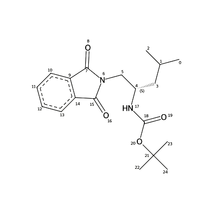 CC(C)C[C@@H](CN1C(=O)c2ccccc2C1=O)NC(=O)OC(C)(C)C